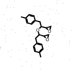 Cc1ccc(CC(OC(Cc2ccc(C)cc2)C2CO2)C2CO2)cc1